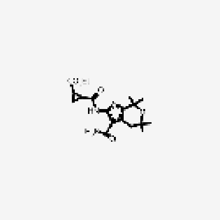 CCOC(=O)C1CC1C(=O)Nc1sc2c(c1C(N)=O)CC(C)(C)OC2(C)C